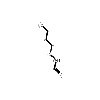 CCCCSNC=O